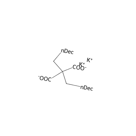 CCCCCCCCCCCC(CCCCCCCCCCC)(C(=O)[O-])C(=O)[O-].[K+].[K+]